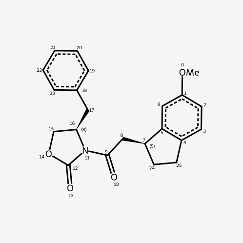 COc1ccc2c(c1)[C@H](CC(=O)N1C(=O)OC[C@H]1Cc1ccccc1)CC2